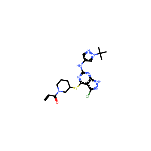 C=CC(=O)N1CCCC(Sc2nc(Nc3cnn(C(C)(C)C)c3)nc3[nH]nc(Cl)c23)C1